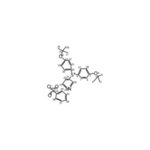 CC(C)(C)Oc1ccc([S+](c2ccc(OC(C)(C)C)cc2)c2cccnc2)cc1.O=S(=O)([O-])c1ccccc1